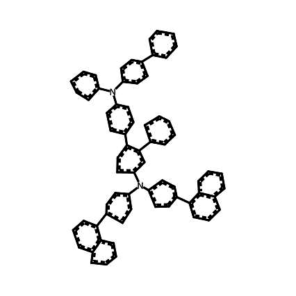 c1ccc(-c2ccc(N(c3ccccc3)c3ccc(-c4ccc(N(c5ccc(-c6cccc7ccccc67)cc5)c5ccc(-c6cccc7ccccc67)cc5)cc4-c4ccccc4)cc3)cc2)cc1